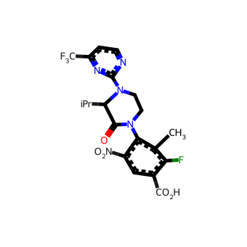 Cc1c(F)c(C(=O)O)cc([N+](=O)[O-])c1N1CCN(c2nccc(C(F)(F)F)n2)C(C(C)C)C1=O